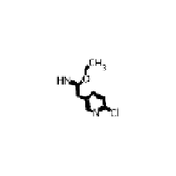 CCOC(=N)Cc1ccc(Cl)nc1